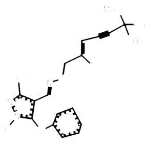 COC(C)(C)C#CC=C(F)CON=Cc1c(C)nn(C)c1Oc1ccccc1